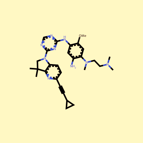 COc1cc(N(C)CCN(C)C)c(N)cc1Nc1ncnc(N2CC(C)(C)c3nc(C#CC4CC4)ccc32)n1